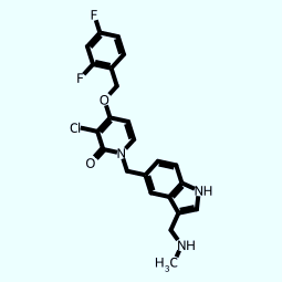 CNCc1c[nH]c2ccc(Cn3ccc(OCc4ccc(F)cc4F)c(Cl)c3=O)cc12